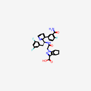 NC(=O)c1cc(-c2cccnc2[C@H](Cc2cc(F)cc(F)c2)NC(=O)Cn2nc(C(=O)O)c3c2C2CCC3C2)ccc1F